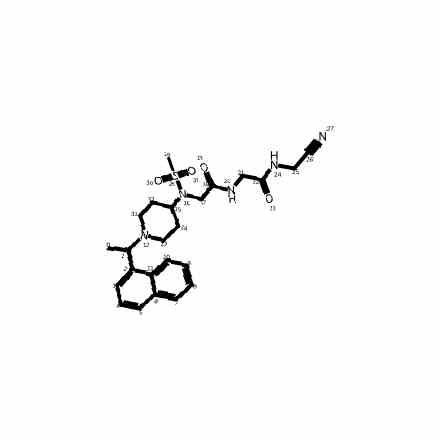 CC(c1cccc2ccccc12)N1CCC(N(CC(=O)NCC(=O)NCC#N)S(C)(=O)=O)CC1